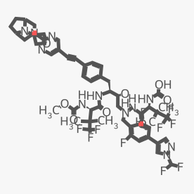 COC(=O)N[C@H](C(=O)N[C@@H](Cc1ccc(C#Cc2cnc(N3CC4CCC(C3)N4C3COC3)nc2)cc1)[C@@H](O)CN(Cc1c(F)cc(-c2cnn(C(F)F)c2)cc1F)NC(=O)[C@@H](NC(=O)O)C(C)(C)C(F)(F)F)C(C)(C)C(F)(F)F